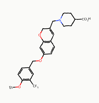 CCOc1ccc(COc2ccc3c(c2)OCC(CN2CCC(C(=O)O)CC2)=C3)cc1C(F)(F)F